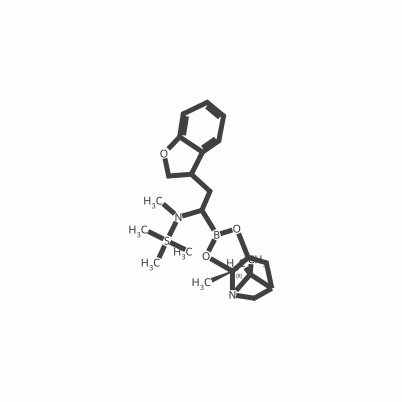 CN(C(CC1COc2ccccc21)B1OC2CC3CN(C3(C)C)[C@]2(C)O1)S(C)(C)C